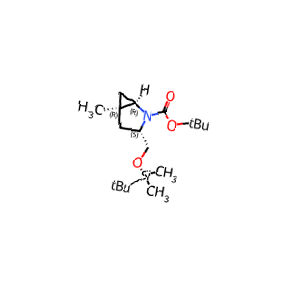 CC(C)(C)OC(=O)N1[C@H](CO[Si](C)(C)C(C)(C)C)C[C@@]2(C)C[C@@H]12